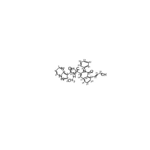 Cc1nn2cccnc2c1C(=O)N[C@@H](C)c1cc2cccc(C#CCO)c2c(=O)n1-c1ccccc1